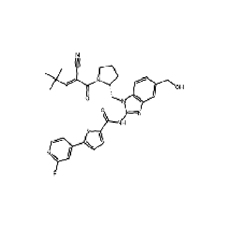 CC(C)(C)C=C(C#N)C(=O)N1CCC[C@@H]1Cn1c(NC(=O)c2ccc(-c3ccnc(F)c3)s2)nc2cc(CO)ccc21